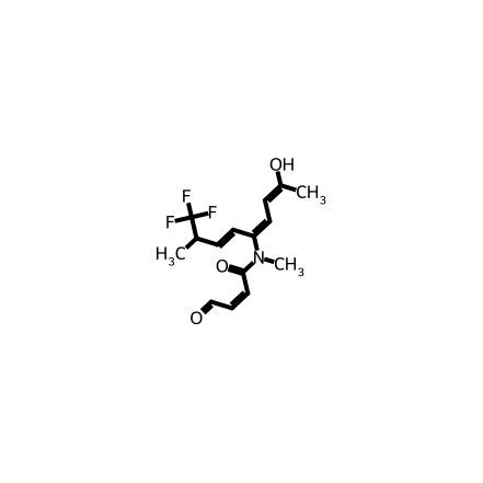 C\C(O)=C/C=C(\C=C\C(C)C(F)(F)F)N(C)C(=O)/C=C\C=O